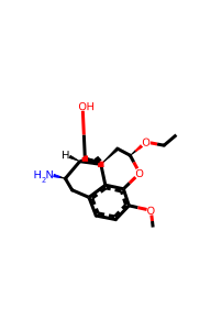 CCO[C@@H]1C[C@]23C=CC(O)C[C@H]2[C@H](N)Cc2ccc(OC)c(c23)O1